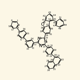 c1ccc(-c2ccc(-c3cccc(-c4nc(-c5ccc(-c6cccc7ccccc67)cc5)nc(-c5ccc6c(c5)oc5cccc(-c7ccccc7)c56)n4)c3)cc2)cc1